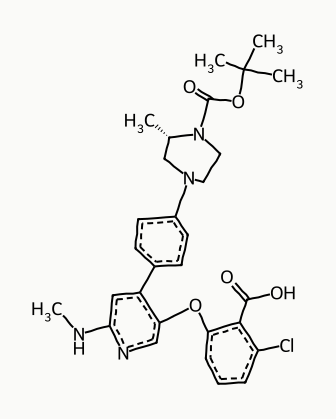 CNc1cc(-c2ccc(N3CCN(C(=O)OC(C)(C)C)[C@@H](C)C3)cc2)c(Oc2cccc(Cl)c2C(=O)O)cn1